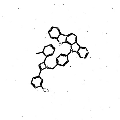 CC1CC=CC=C1C1C=C(c2cccc(C#N)c2)N1Cc1ccc(-n2c3ccccc3c3ccc4c5ccccc5sc4c32)cc1